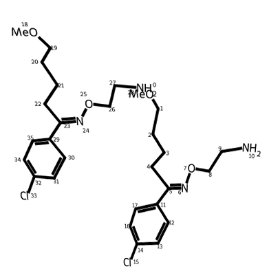 COCCCC/C(=N\OCCN)c1ccc(Cl)cc1.COCCCC/C(=N\OCCN)c1ccc(Cl)cc1